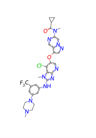 CN1CCN(c2cc(Nc3nc4ncc(Oc5cnn6cc(N(C)C(=O)C7CC7)ncc56)c(Cl)c4n3C)cc(C(F)(F)F)c2)CC1